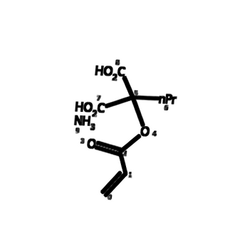 C=CC(=O)OC(CCC)(C(=O)O)C(=O)O.N